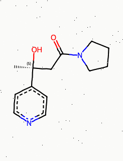 C[C@](O)(CC(=O)N1CCCC1)c1ccncc1